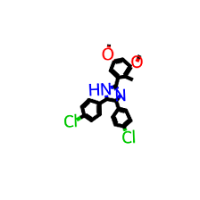 COc1cc(OC)c(C)c(C2=NC(c3ccc(Cl)cc3)C(c3ccc(Cl)cc3)N2)c1